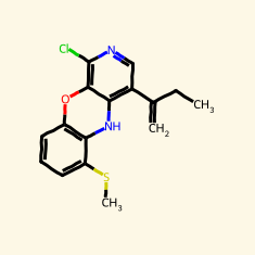 C=C(CC)c1cnc(Cl)c2c1Nc1c(cccc1SC)O2